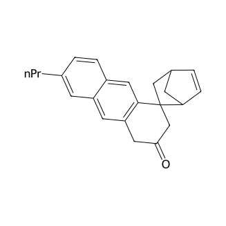 CCCc1ccc2cc3c(cc2c1)CC(=O)CC31CC2C=CC1C2